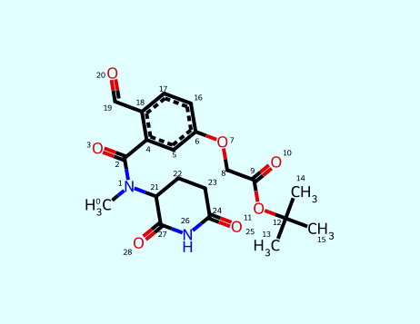 CN(C(=O)c1cc(OCC(=O)OC(C)(C)C)ccc1C=O)C1CCC(=O)NC1=O